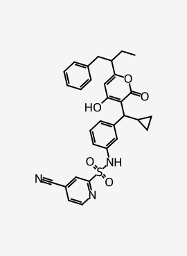 CCC(Cc1ccccc1)c1cc(O)c(C(c2cccc(NS(=O)(=O)c3cc(C#N)ccn3)c2)C2CC2)c(=O)o1